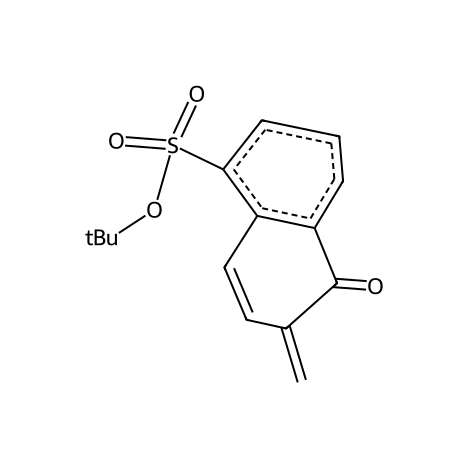 C=C1C=Cc2c(cccc2S(=O)(=O)OC(C)(C)C)C1=O